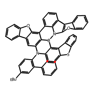 CC(C)(C)c1ccc(N2c3cc4c(oc5ccccc54)c4c3B(c3c2ccc2sc5ccccc5c32)n2c3oc5ccccc5c3c3cccc-4c32)c(-c2ccccc2)c1